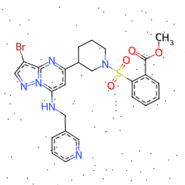 COC(=O)c1ccccc1S(=O)(=O)N1CCCC(c2cc(NCc3cccnc3)n3ncc(Br)c3n2)C1